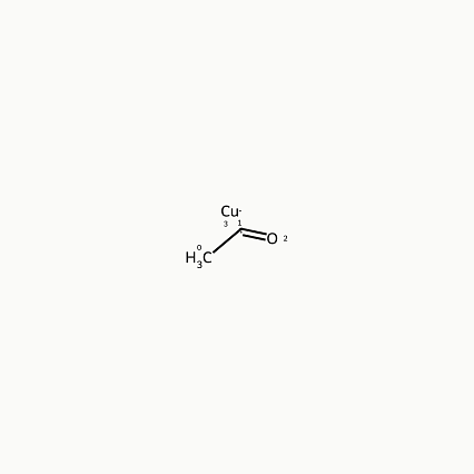 C[C]=O.[Cu]